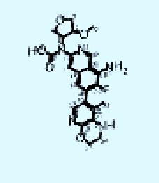 COC1COCC1N(C(=O)O)c1cc2cc(-c3cnc4c(c3C)NCCO4)c(F)c(N)c2cn1